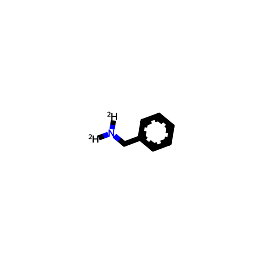 [2H]N([2H])Cc1ccccc1